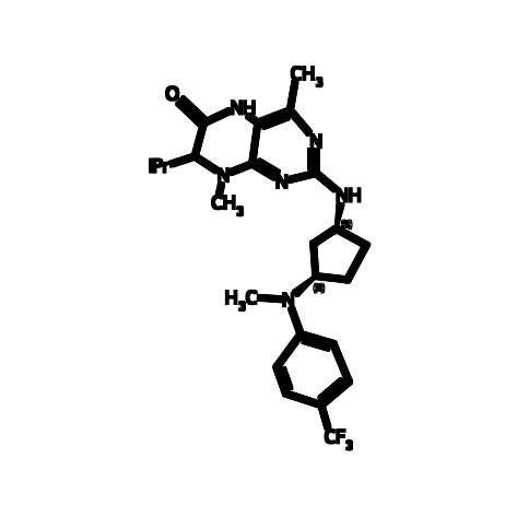 Cc1nc(N[C@H]2CC[C@@H](N(C)c3ccc(C(F)(F)F)cc3)C2)nc2c1NC(=O)C(C(C)C)N2C